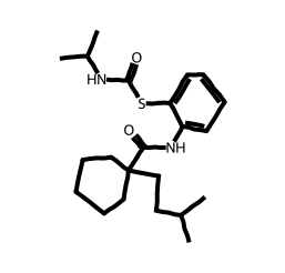 CC(C)CCC1(C(=O)Nc2ccccc2SC(=O)NC(C)C)CCCCC1